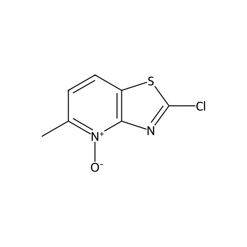 Cc1ccc2sc(Cl)nc2[n+]1[O-]